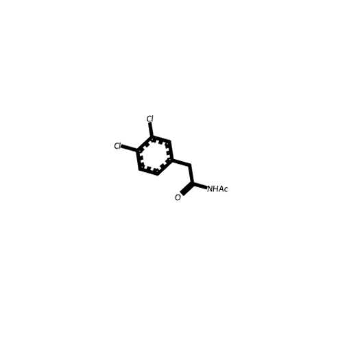 CC(=O)NC(=O)Cc1ccc(Cl)c(Cl)c1